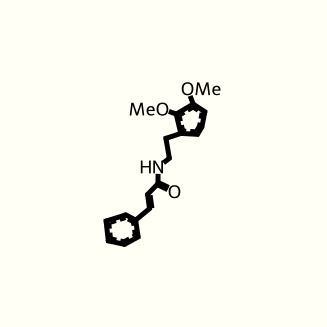 COc1cccc(CCNC(=O)/C=C/c2ccccc2)c1OC